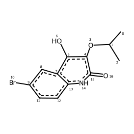 CC(C)Oc1c(O)c2cc(Br)ccc2[nH]c1=O